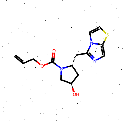 C=CCOC(=O)N1C[C@H](O)C[C@H]1Cc1ncc2sccn12